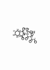 O=CC(=O)C(=O)C(=O)C(C(=O)O)N1C(=O)c2ccccc2C1=O